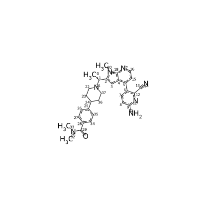 C[C@@H](c1cc2c(-c3ccc(N)nc3C#N)ccnc2n1C)N1CCC(c2ccc(C(=O)N(C)C)cc2)CC1